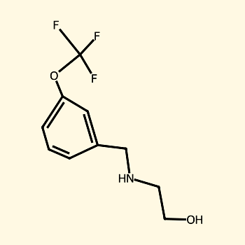 OCCNCc1cccc(OC(F)(F)F)c1